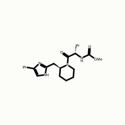 COC(=O)N[C@H](C(=O)N1CCCC[C@H]1Cc1nc(C(C)C)c[nH]1)C(C)C